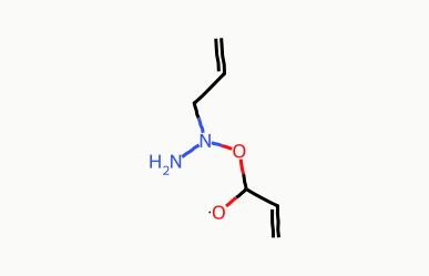 C=CCN(N)OC([O])C=C